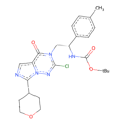 Cc1ccc([C@@H](Cn2c(Cl)nn3c(C4CCOCC4)ncc3c2=O)NC(=O)OC(C)(C)C)cc1